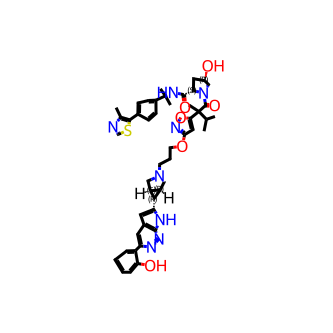 Cc1ncsc1-c1ccc(C(C)(C)NC(=O)[C@@H]2C[C@@H](O)CN2C(=O)C(C)(c2cc(OCCCN3C[C@@H]4[C@H](C3)[C@H]4c3cc4cc(-c5ccccc5O)nnc4[nH]3)no2)C(C)C)cc1